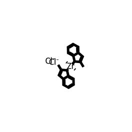 CC1=Cc2ccccc2[CH]1[Zr]([CH3])([CH3])[CH]1C(C)=Cc2ccccc21.[Cl-].[Cl-]